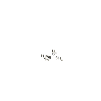 B.[Fe].[MgH2].[SiH4]